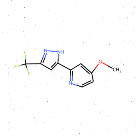 COc1ccnc(-c2cc(C(F)(F)F)n[nH]2)c1